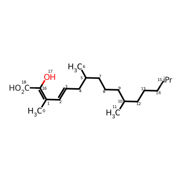 CC(C=CCC(C)CCCC(C)CCCC(C)C)=C(O)C(=O)O